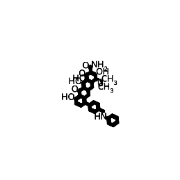 CN(C)C1C(O)=C(C(N)=O)C(=O)C2(O)C(O)=C3C(=O)c4c(O)ccc(-c5ccc(CNc6ccccc6)cc5)c4CC3CC12